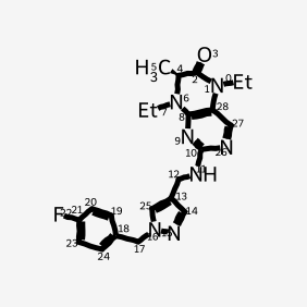 CCN1C(=O)[C@H](C)N(CC)c2nc(NCc3cnn(Cc4ccc(F)cc4)c3)ncc21